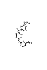 CCOc1cccc(OC2CCN(C(=O)c3cccc(NC(C)=O)n3)CC2)c1